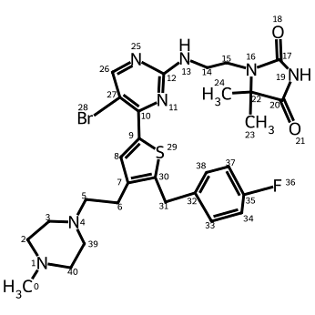 CN1CCN(CCc2cc(-c3nc(NCCN4C(=O)NC(=O)C4(C)C)ncc3Br)sc2Cc2ccc(F)cc2)CC1